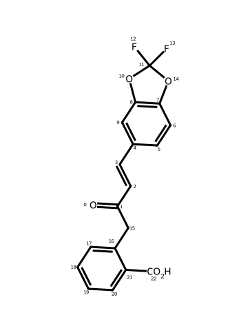 O=C(/C=C/c1ccc2c(c1)OC(F)(F)O2)Cc1ccccc1C(=O)O